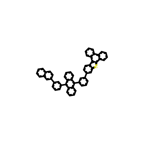 c1cc(-c2ccc3ccccc3c2)cc(-c2c3ccccc3c(-c3cccc(-c4ccc5c(c4)sc4c6ccccc6c6ccccc6c54)c3)c3ccccc23)c1